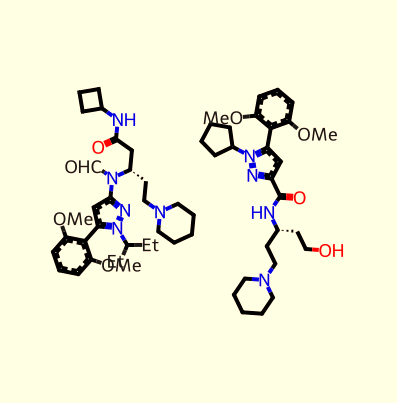 CCC(CC)n1nc(N(C=O)[C@@H](CCN2CCCCC2)CC(=O)NC2CCC2)cc1-c1c(OC)cccc1OC.COc1cccc(OC)c1-c1cc(C(=O)N[C@H](CCO)CCN2CCCCC2)nn1C1CCCC1